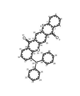 O=c1c2ccccc2sc2cc3c(=O)c4cccc(N(c5ccccc5)c5ccccc5)c4oc3cc12